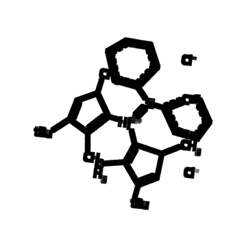 CC1=[C]([Hf+2]([C]2=C(C)C(C(C)(C)C)=CC2C)=[Si](c2ccccc2)c2ccccc2)C(C)C=C1C(C)(C)C.[Cl-].[Cl-]